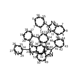 c1ccc(-c2nc3ccccc3n2-c2cc(-c3ccccc3-n3c(-c4cccnc4)nc4ccccc43)cc(-n3c(-c4ccccc4)nc4ccccc43)c2)cc1